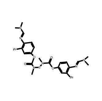 CC(C)c1cc(OC(=O)N(C)SN(C)C(=O)Oc2ccc(N=CN(C)C)c(C(C)C)c2)ccc1N=CN(C)C